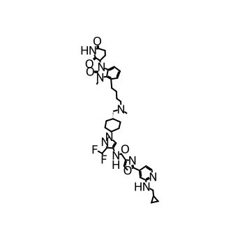 CN(CCCCc1cccc2c1n(C)c(=O)n2C1CCC(=O)NC1=O)C[C@H]1CC[C@H](n2cc(NC(=O)c3coc(-c4ccnc(NCC5CC5)c4)n3)c(C(F)F)n2)CC1